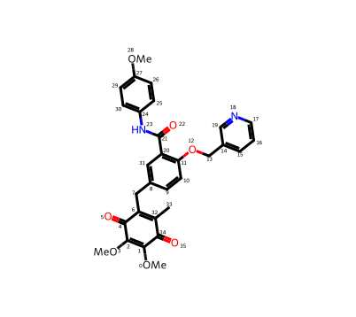 COC1=C(OC)C(=O)C(Cc2ccc(OCc3cccnc3)c(C(=O)Nc3ccc(OC)cc3)c2)=C(C)C1=O